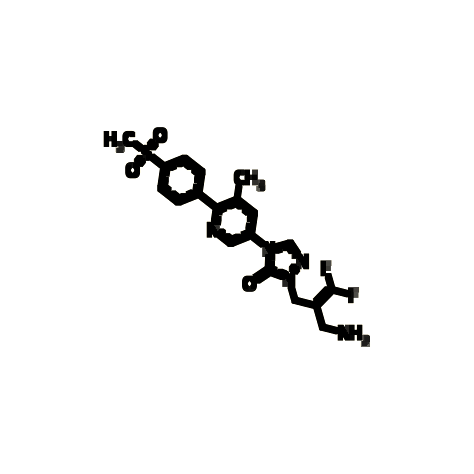 Cc1cc(-n2cnn(CC(CN)=C(F)F)c2=O)cnc1-c1ccc(S(C)(=O)=O)cc1